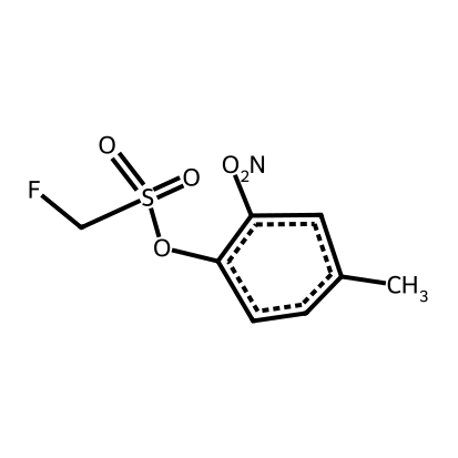 Cc1ccc(OS(=O)(=O)CF)c([N+](=O)[O-])c1